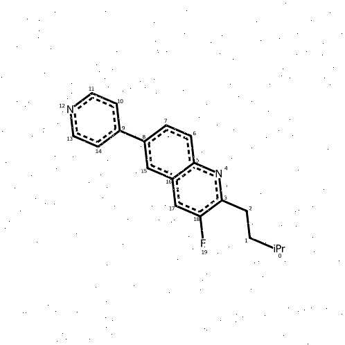 CC(C)CCc1nc2ccc(-c3ccncc3)cc2cc1F